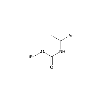 CC(=O)C(C)NC(=O)OC(C)C